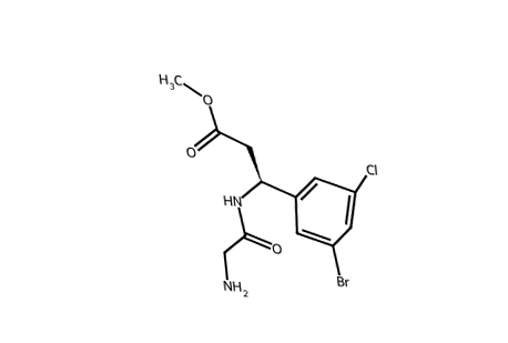 COC(=O)C[C@H](NC(=O)CN)c1cc(Cl)cc(Br)c1